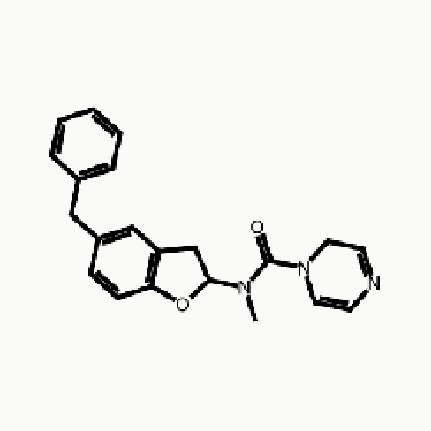 CN(C(=O)N1C=CN=CC1)C1Cc2cc(Cc3ccccc3)ccc2O1